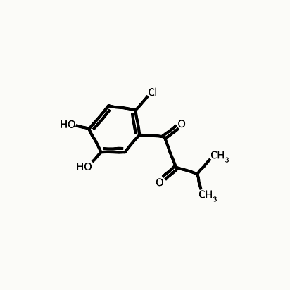 CC(C)C(=O)C(=O)c1cc(O)c(O)cc1Cl